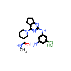 CNC(=O)[C@@H]1CCCN(c2nc(Nc3cc(N)cc(Cl)c3)nc3c2CCC3)C1.Cl